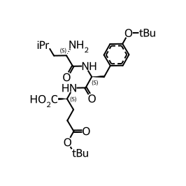 CC(C)C[C@H](N)C(=O)N[C@@H](Cc1ccc(OC(C)(C)C)cc1)C(=O)N[C@@H](CCC(=O)OC(C)(C)C)C(=O)O